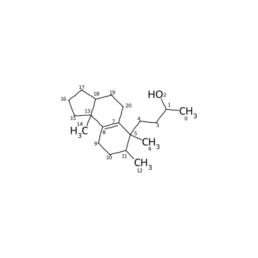 CC(O)CCC1(C)C2=C(CCC1C)C1(C)CCCC1CC2